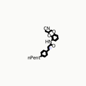 CCCCCc1ccc(/C=C/C(=O)Nc2cccc3c2OC(CC#N)CO3)cc1